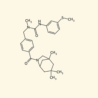 CSc1cccc(NC(=O)N(C)Cc2ccc(C(=O)N3CC4(C)CC3CC(C)(C)C4)cc2)c1